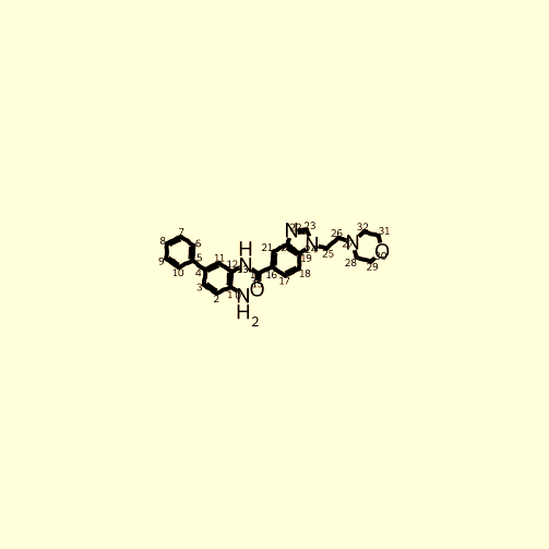 Nc1ccc(-c2ccccc2)cc1NC(=O)c1ccc2c(c1)ncn2CCN1CCOCC1